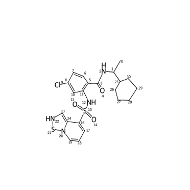 CC(NC(=O)c1ccc(Cl)cc1NS(=O)(=O)C1=CC=CN2SNC=C12)C1CCCCC1